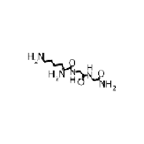 NCCCC[C@H](N)C(=O)NCC(=O)NCC(N)=O